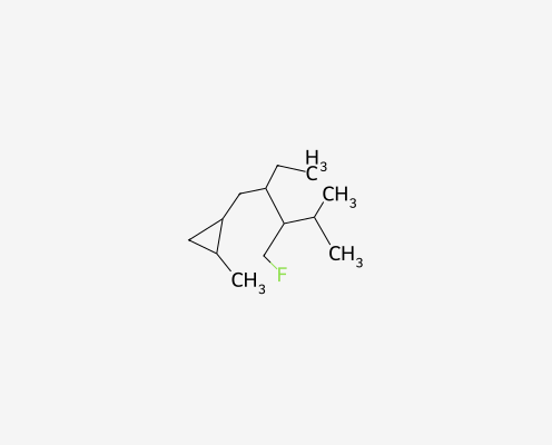 CCC(CC1CC1C)C(CF)C(C)C